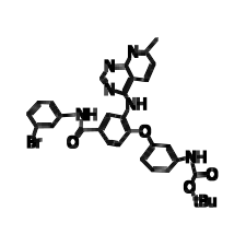 Cc1ccc2c(Nc3cc(C(=O)Nc4cccc(Br)c4)ccc3Oc3cccc(NC(=O)OC(C)(C)C)c3)ncnc2n1